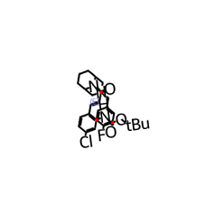 CC(C)(C)OC(=O)Nc1cc(Cl)ccc1/C=C/C(=O)N1C2CCCC1CN(Cc1ccc(F)cc1)C2